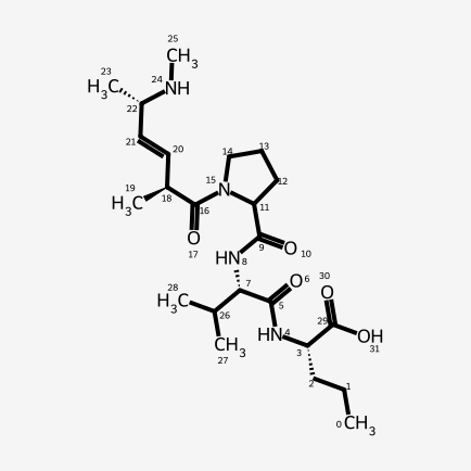 CCC[C@H](NC(=O)[C@@H](NC(=O)C1CCCN1C(=O)[C@@H](C)/C=C/[C@H](C)NC)C(C)C)C(=O)O